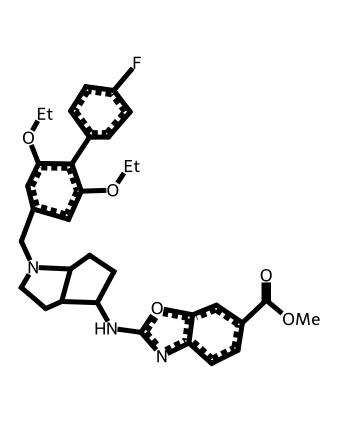 CCOc1cc(CN2CCC3C(Nc4nc5ccc(C(=O)OC)cc5o4)CCC32)cc(OCC)c1-c1ccc(F)cc1